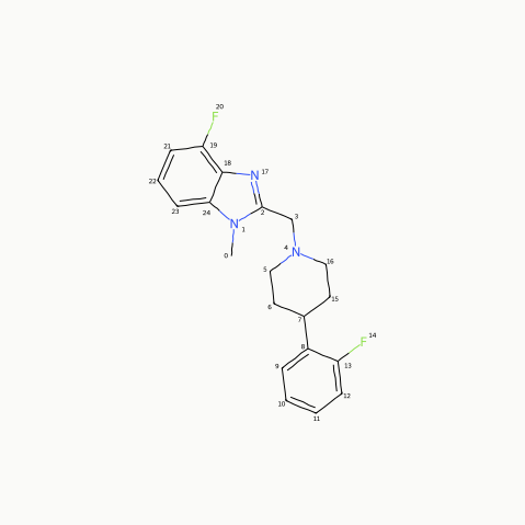 Cn1c(CN2CCC(c3ccccc3F)CC2)nc2c(F)cccc21